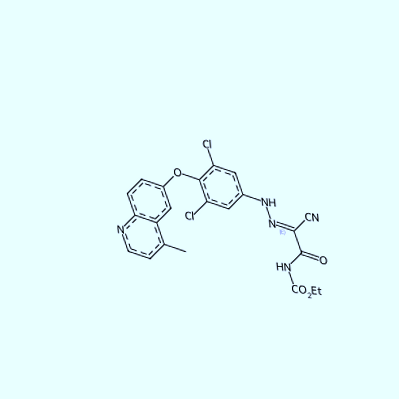 CCOC(=O)NC(=O)/C(C#N)=N/Nc1cc(Cl)c(Oc2ccc3nccc(C)c3c2)c(Cl)c1